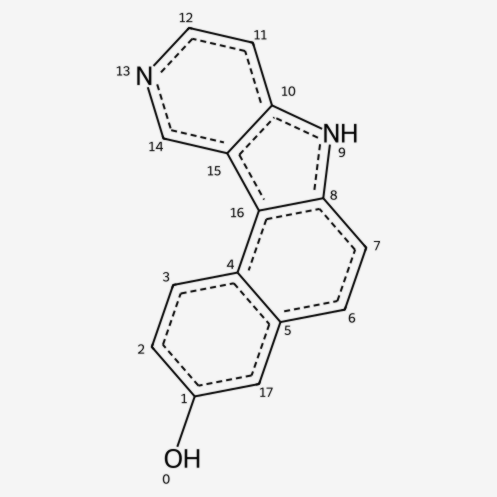 Oc1ccc2c(ccc3[nH]c4ccncc4c32)c1